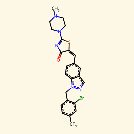 CN1CCN(C2=NC(=O)/C(=C\c3ccc4c(cnn4Cc4ccc(C(F)(F)F)cc4Br)c3)S2)CC1